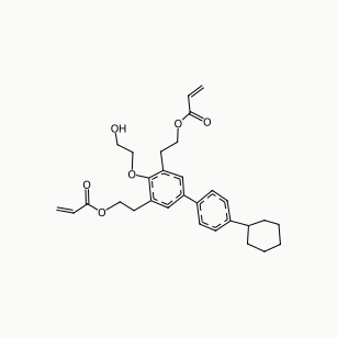 C=CC(=O)OCCc1cc(-c2ccc(C3CCCCC3)cc2)cc(CCOC(=O)C=C)c1OCCO